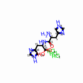 Cl.Cl.Cl.NC(Cc1c[nH]cn1)C(=O)NC(Cc1c[nH]cn1)C(=O)O